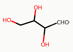 O=[C]C(O)C(O)CO